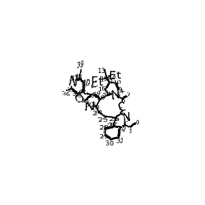 C=CC1=NC2CC(=C)[n+]3ccc(C(C)(CC)CC)cc3-c3cc4c(nc3CCC2c2ccccc21)oc1c(C)nc(C)cc14